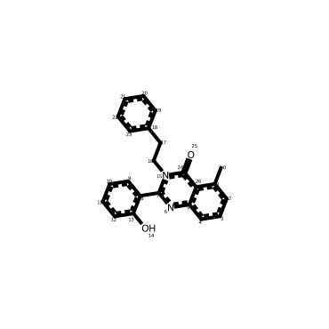 Cc1cccc2nc(-c3ccccc3O)n(CCc3ccccc3)c(=O)c12